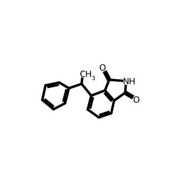 CC(c1ccccc1)c1cccc2c1C(=O)NC2=O